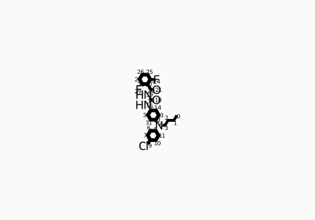 CCCCN(c1ccc(Cl)cc1)c1ccc(NC(=O)NC(=O)c2c(F)cccc2F)cc1